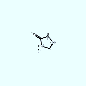 O=C1NCNN1.[Ir]